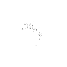 Cc1nocc1C(=O)N[C@H](C(=O)Nc1ccc(-c2c(C)nn(COCC[Si](C)(C)C)c2C)c(F)n1)C(C1CC1)C1CC1